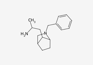 CC(N)CC1C2CCC1N(Cc1ccccc1)C2